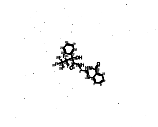 O=C(NCc1nc2ccccc2c(=O)[nH]1)[C@@](O)(c1ccccc1)C(F)(F)C(F)(F)F